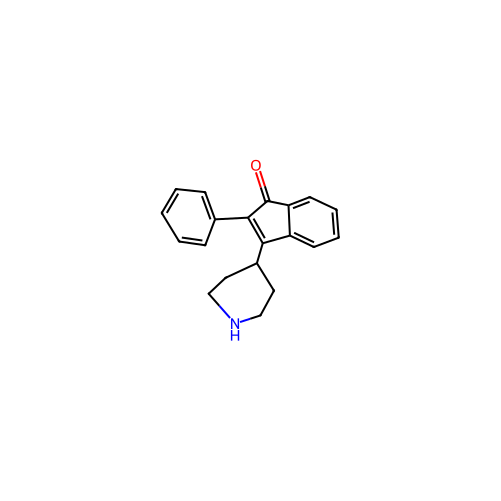 O=C1C(c2ccccc2)=C(C2CCNCC2)c2ccccc21